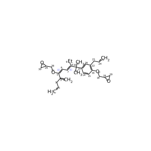 C=CCC(=C)/C(=C\C=C(/CC)C(C)(C)c1ccc(OCC2CO2)c(CC=C)c1)OCC1CO1